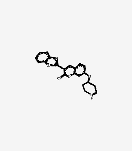 O=c1oc2cc(OC3CCNCC3)ccc2cc1-c1nc2ccccc2s1